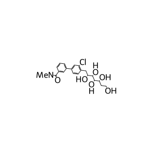 CNC(=O)c1cccc(-c2ccc(CC(O)C(O)C(O)C(O)CCO)c(Cl)c2)c1